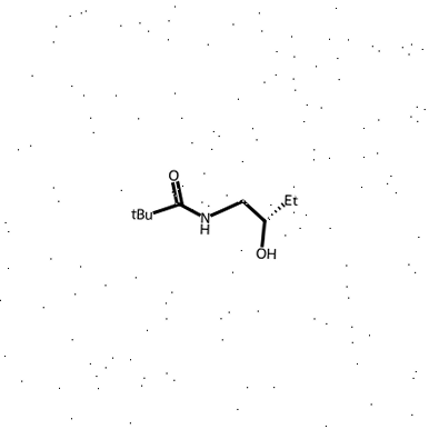 CC[C@H](O)CNC(=O)C(C)(C)C